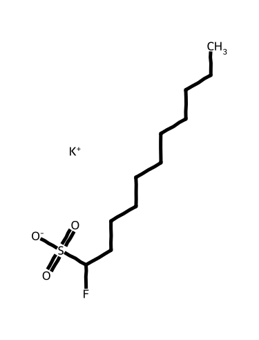 CCCCCCCCCCC(F)S(=O)(=O)[O-].[K+]